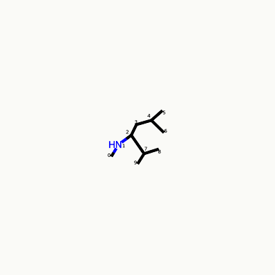 CNC(CC(C)C)C(C)C